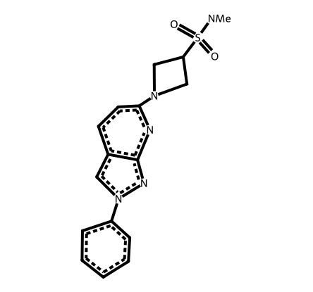 CNS(=O)(=O)C1CN(c2ccc3cn(-c4ccccc4)nc3n2)C1